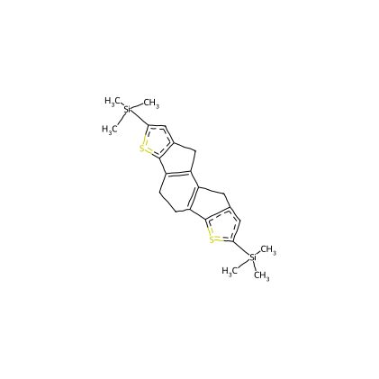 C[Si](C)(C)c1cc2c(s1)C1=C(C2)C2=C(CC1)c1sc([Si](C)(C)C)cc1C2